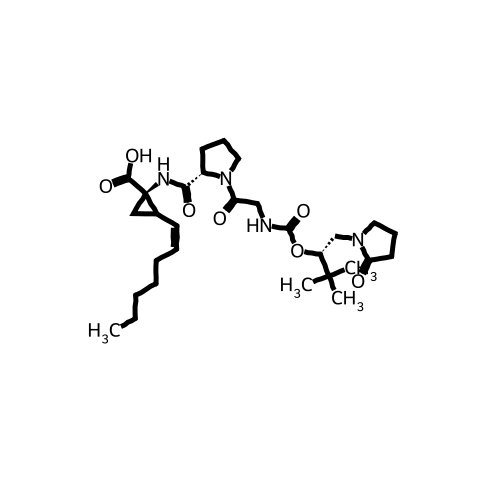 CCCCC/C=C\C1C[C@]1(NC(=O)[C@@H]1CCCN1C(=O)CNC(=O)O[C@H](CN1CCCC1=O)C(C)(C)C)C(=O)O